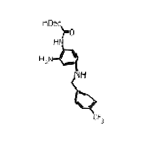 CCCCCCCCCCC(=O)Nc1ccc(NCc2ccc(C(F)(F)F)cc2)cc1N